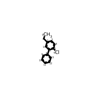 CCc1ccc(Cl)c(-c2ccccc2)c1